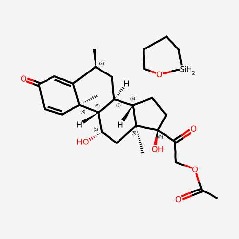 C1CC[SiH2]OC1.CC(=O)OCC(=O)[C@@]1(O)CC[C@H]2[C@@H]3C[C@H](C)C4=CC(=O)C=C[C@]4(C)[C@H]3[C@@H](O)C[C@@]21C